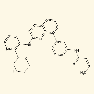 C/C=C\C(=O)Nc1cccc(-c2cccc3cnc(Nc4cccnc4C4CNCCO4)nc23)c1